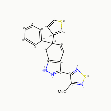 COc1nsnc1-c1n[nH]c2c1C=CC(c1ccccc1)(c1ccsc1)C2